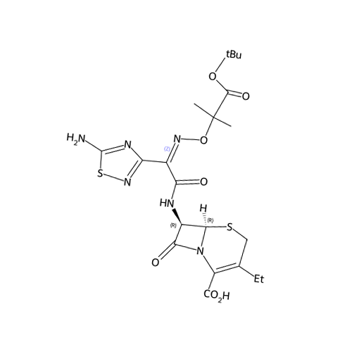 CCC1=C(C(=O)O)N2C(=O)[C@@H](NC(=O)/C(=N\OC(C)(C)C(=O)OC(C)(C)C)c3nsc(N)n3)[C@H]2SC1